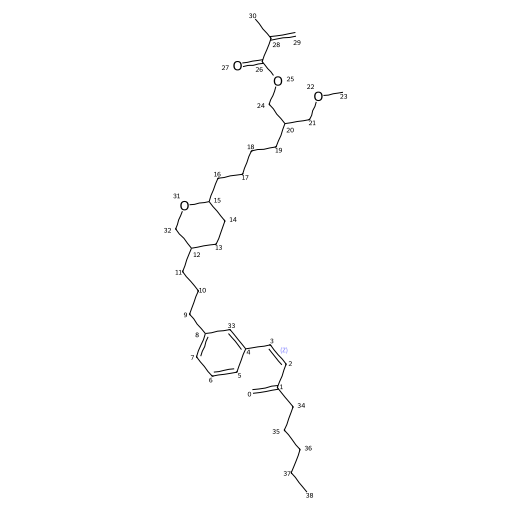 C=C(/C=C\c1cccc(CCCC2CCC(CCCCC(COC)COC(=O)C(=C)C)OC2)c1)CCCCC